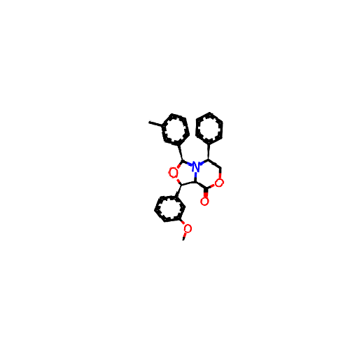 COc1cccc([C@H]2O[C@@H](c3cccc(C)c3)N3C2C(=O)OC[C@@H]3c2ccccc2)c1